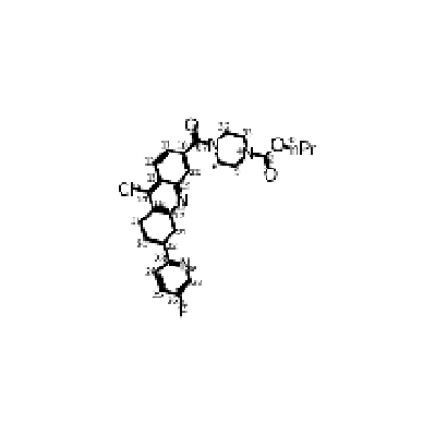 CCCOC(=O)N1CCN(C(=O)c2ccc3c(Cl)c4c(nc3c2)CC(c2ccc(F)cn2)CC4)CC1